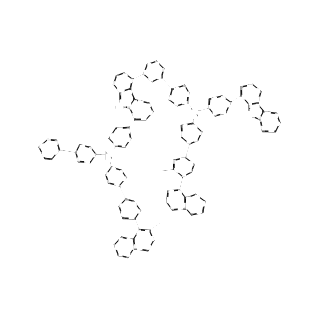 Cc1cc(-c2ccc(N(c3ccc(-c4cccc(-c5cccc6oc7c(-c8ccc(N(c9ccc(-c%10ccccc%10)cc9)c9ccc(-c%10ccc(-c%11c(C)ccc%12ccccc%11%12)cc%10)cc9)cc8)cccc7c56)c4)cc3)c3ccc(-c4cccc5c4oc4ccccc45)cc3)cc2)ccc1-c1cccc2ccccc12